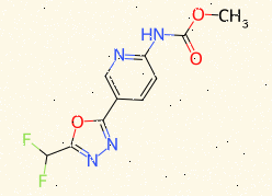 COC(=O)Nc1ccc(-c2nnc(C(F)F)o2)cn1